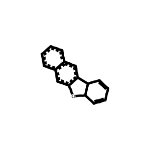 C1=CC2Oc3cc4ccccc4cc3C2C=C1